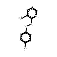 Cc1ccc(OSc2ncccc2[N+](=O)[O-])cc1